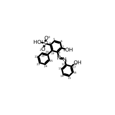 O=S(=O)(O)c1ccc(O)c(N=Nc2ccccc2O)c1-c1ccccc1